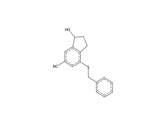 N#Cc1cc(SCc2ccccc2)c2c(c1)C(O)CC2